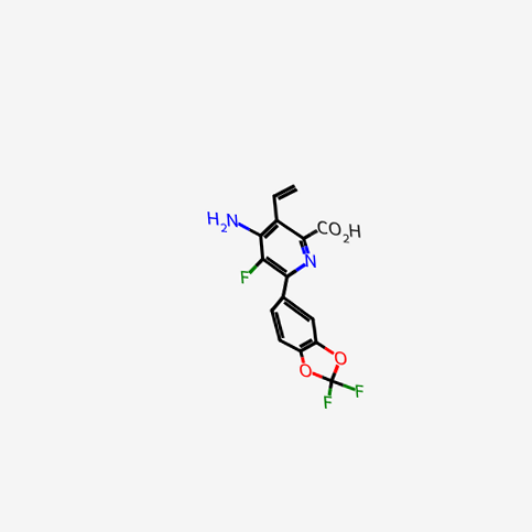 C=Cc1c(C(=O)O)nc(-c2ccc3c(c2)OC(F)(F)O3)c(F)c1N